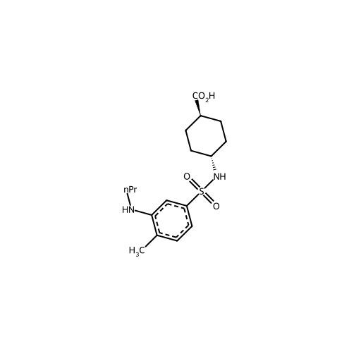 CCCNc1cc(S(=O)(=O)N[C@H]2CC[C@H](C(=O)O)CC2)ccc1C